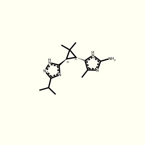 Cc1nc(N)[nH]c1[C@@H]1[C@@H](c2nc(C(C)C)n[nH]2)C1(C)C